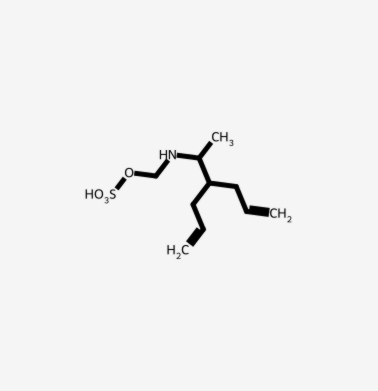 C=CCC(CC=C)C(C)NCOS(=O)(=O)O